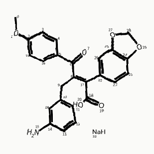 COc1ccc(C(=O)C(Cc2cccc(N)c2)=C(C(=O)O)c2ccc3c(c2)OCO3)cc1.[NaH]